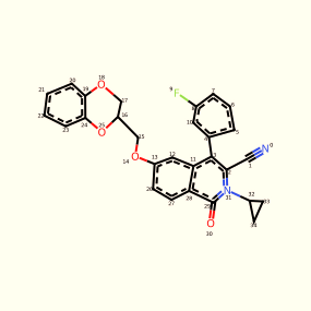 N#Cc1c(-c2cccc(F)c2)c2cc(OCC3COc4ccccc4O3)ccc2c(=O)n1C1CC1